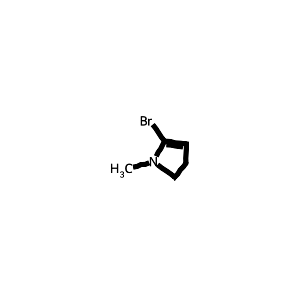 CN1[CH]CC=C1Br